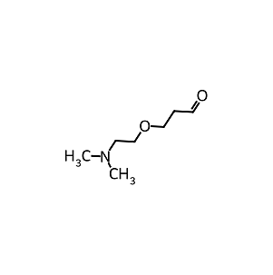 CN(C)CCOCCC=O